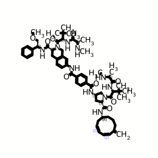 C=C1/C=C\C=C/C[C@H](NC(=O)[C@@H]2C[C@H](NC(=O)c3ccc(C(=O)Nc4ccc5c(c4)CN(C(=O)[C@@H](NC(=O)[C@H](C)NC)C(C)(C)C)[C@H](C(=O)N[C@H](COC)c4ccccc4)C5)cc3)CN2C(=O)C(NC(=O)[C@H](C)NC)C(C)(C)C)CCC1